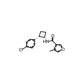 Cc1cocc1C(=O)N[C@H]1CC[C@H]1c1ccc(Cl)cc1